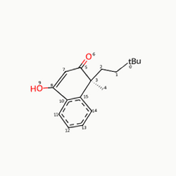 CC(C)(C)CC[C@]1(C)C(=O)C=C(O)c2ccccc21